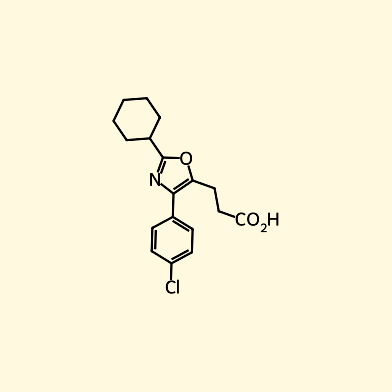 O=C(O)CCc1oc(C2CCCCC2)nc1-c1ccc(Cl)cc1